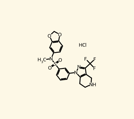 CN(c1ccc2c(c1)OCO2)S(=O)(=O)c1cccc(-n2nc(C(F)(F)F)c3c2CCNC3)c1.Cl